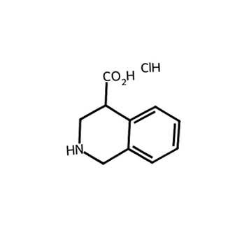 Cl.O=C(O)C1CNCc2ccccc21